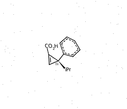 CC(C)[C@@]1(c2ccccc2)C=C1C(=O)O